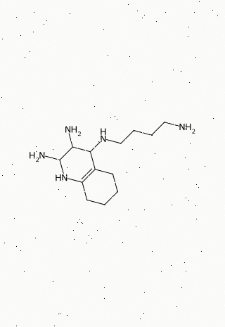 NCCCCNC1C2=C(CCCC2)NC(N)C1N